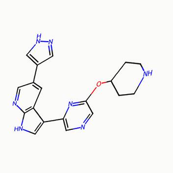 c1n[nH]cc1-c1cnc2[nH]cc(-c3cncc(OC4CCNCC4)n3)c2c1